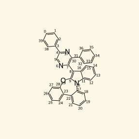 c1ccc(-c2cnc(-c3c4n(c5ccccc35)-c3ccccc3-c3ccccc3O4)c(-c3ccccc3)n2)cc1